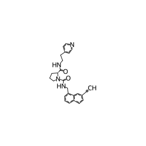 C#Cc1ccc2cccc(CNC(=O)N3CCC[C@H]3C(=O)NCCc3ccncc3)c2c1